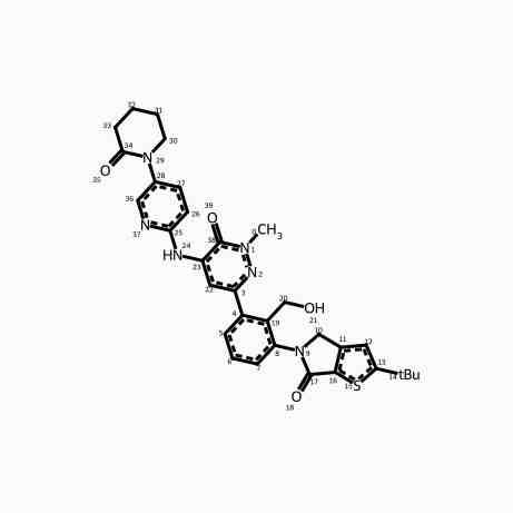 Cn1nc(-c2cccc(N3Cc4cc(C(C)(C)C)sc4C3=O)c2CO)cc(Nc2ccc(N3CCCCC3=O)cn2)c1=O